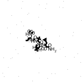 CC[C@H](C)[C@@H](CNS(C)(=O)=O)NC(=O)N[C@H](C(=O)N1C[C@H]2[C@@H]([C@H]1C(=O)NC(CC1CC1)C(=O)C(N)=O)C2(C)C)C(C)(C)C